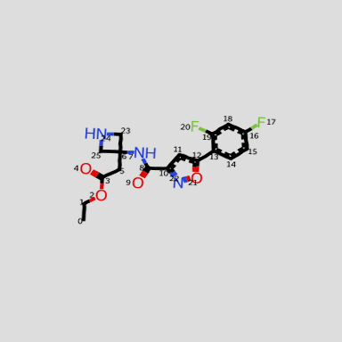 CCOC(=O)CC1(NC(=O)c2cc(-c3ccc(F)cc3F)on2)CNC1